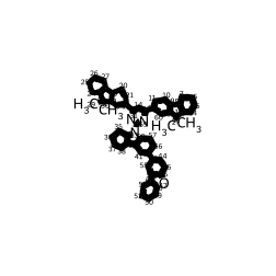 CC1(C)c2ccccc2-c2ccc(-c3cc(C4=CC5C(C=C4)C4=C(CCC=C4)C5(C)C)nc(-n4c5ccccc5c5cc(-c6ccc7oc8ccccc8c7c6)ccc54)n3)cc21